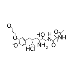 COCCCOc1cc(CC(CC(N)C(O)CNC(=O)C(C)(C)NC(C)=O)C(C)C)ccc1OC.Cl